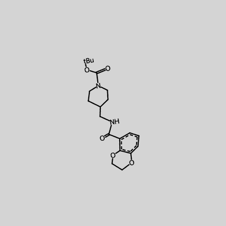 CC(C)(C)OC(=O)N1CCC(CNC(=O)c2cccc3c2OCCO3)CC1